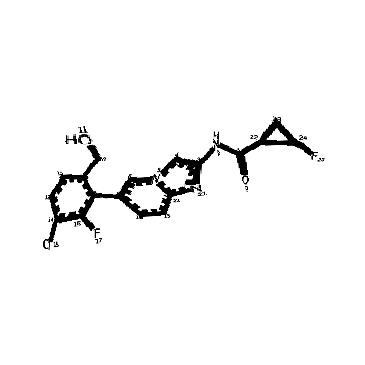 O=C(Nc1cn2cc(-c3c(CO)ccc(Cl)c3F)ccc2n1)C1CC1F